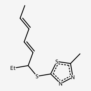 C/C=C/C=C/C(CC)Sc1nnc(C)s1